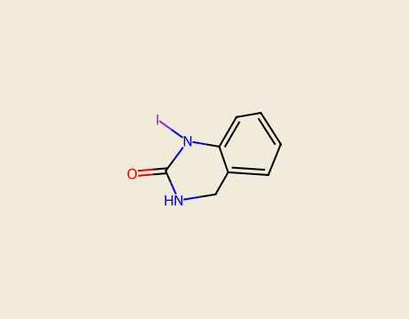 O=C1NCc2ccccc2N1I